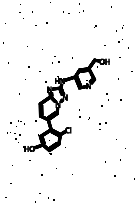 OCc1cncc(Nc2nc3ccc(-c4cc(O)ccc4Cl)cn3n2)c1